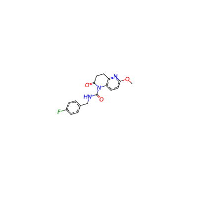 COc1ccc2c(n1)CCC(=O)N2C(=O)NCc1ccc(F)cc1